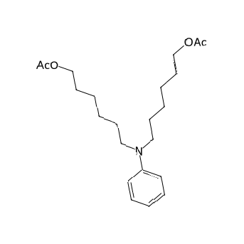 CC(=O)OCCCCCCN(CCCCCCOC(C)=O)c1ccccc1